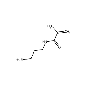 C=C(C)C(=O)NCCC[SiH2]